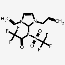 C=CCN1C=CN(C=C)C1N(C(=O)C(F)(F)F)S(=O)(=O)C(F)(F)F